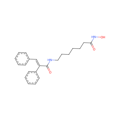 O=C(CCCCCCNC(=O)/C(=C/c1ccccc1)c1ccccc1)NO